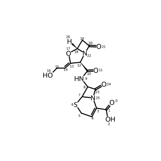 O=C(O)C1=CCSC2C(NC(=O)[C@H]3/C(=C/CO)O[C@@H]4CC(=O)N43)C(=O)N12